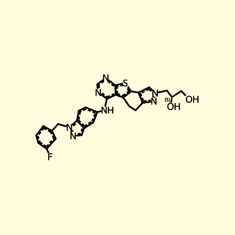 OC[C@@H](O)Cn1cc2c(n1)CCc1c-2sc2ncnc(Nc3ccc4c(cnn4Cc4cccc(F)c4)c3)c12